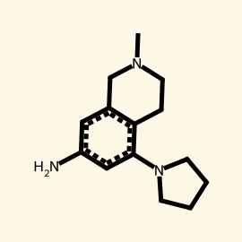 CN1CCc2c(cc(N)cc2N2CCCC2)C1